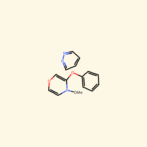 CON1C=COC=C1Oc1ccccc1.c1ccnnc1